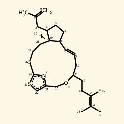 C=C(C)CC1CCC2/C=C/CC(CCC(F)=C(F)F)OCc3csc(n3)SCC[C@H]21